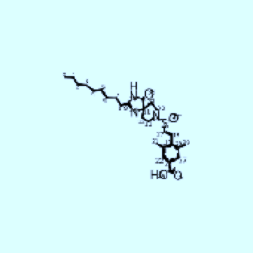 CCCCCCCCCC1=NC2(CCN([S@@+]([O-])/C=C/c3c(C)cc(C(=O)O)cc3C)CC2)C(=O)N1